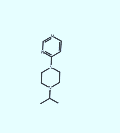 CC(C)N1CCN(c2ccncn2)CC1